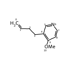 C=CCCc1cnccc1OC